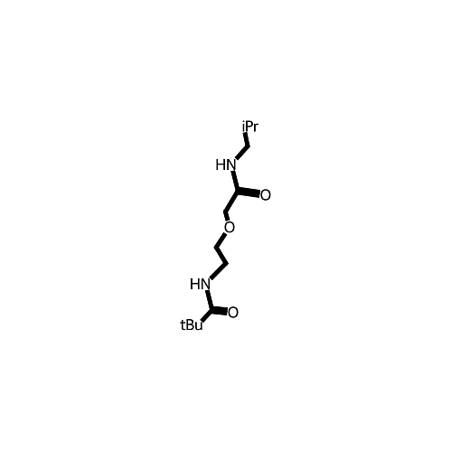 CC(C)CNC(=O)COCCNC(=O)C(C)(C)C